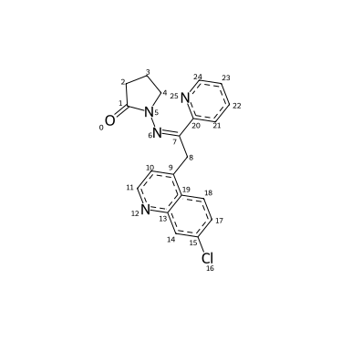 O=C1CCCN1N=C(Cc1ccnc2cc(Cl)ccc12)c1ccccn1